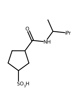 CC(C)C(C)NC(=O)C1CCC(S(=O)(=O)O)C1